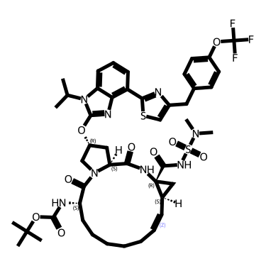 CC(C)n1c(O[C@@H]2C[C@H]3C(=O)N[C@]4(C(=O)NS(=O)(=O)N(C)C)C[C@H]4/C=C\CCCCC[C@H](NC(=O)OC(C)(C)C)C(=O)N3C2)nc2c(-c3nc(Cc4ccc(OC(F)(F)F)cc4)cs3)cccc21